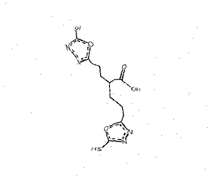 O=C(O)C(CCc1nnc(S)o1)CCc1nnc(S)o1